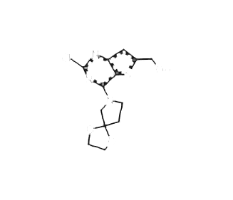 OCc1cc2nc(Cl)nc(N3CCC4(C3)OCCO4)c2s1